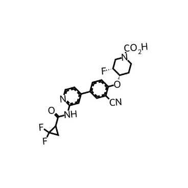 N#Cc1cc(-c2ccnc(NC(=O)C3CC3(F)F)c2)ccc1O[C@H]1CCN(C(=O)O)C[C@H]1F